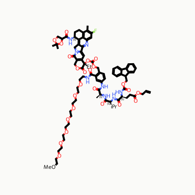 C=CCOC(=O)CC[C@H](NC(=O)OCC1c2ccccc2-c2ccccc21)C(=O)N[C@H](C(=O)N[C@@H](C)C(=O)Nc1ccc(COC(=O)O[C@]2(CC)C(=O)OCc3c2cc2n(c3=O)Cc3c-2nc2cc(F)c(C)c4c2c3[C@@H](NC(=O)C2COC(C)(C)O2)CC4)c(C(=O)NCCOCCOCCOCCOCCOCCOCCOCCOC)c1)C(C)C